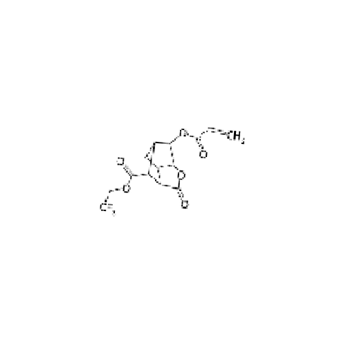 C=CC(=O)OC1C2CC3C1OC(=O)C3C2C(=O)OCC(F)(F)F